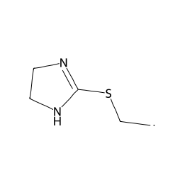 [CH2]CSC1=NCCN1